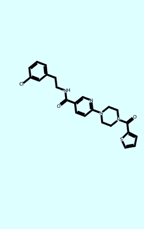 O=C(NCCc1cccc(Cl)c1)c1ccc(N2CCN(C(=O)c3cccs3)CC2)nc1